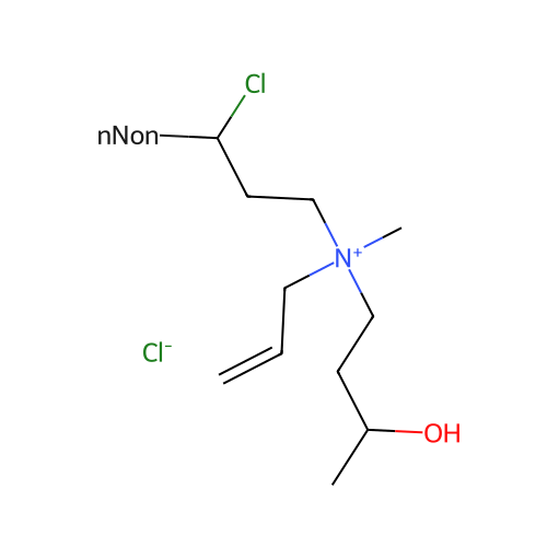 C=CC[N+](C)(CCC(C)O)CCC(Cl)CCCCCCCCC.[Cl-]